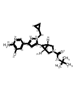 CC(C)(C)OC(=O)N1C[C@@H]2[C@H](C1)[C@H]2c1cc(-c2cnc(N)c(Cl)c2)nn1CC1CC1